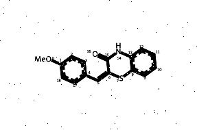 COc1ccc(C=C2Sc3ccccc3NC2=O)cc1